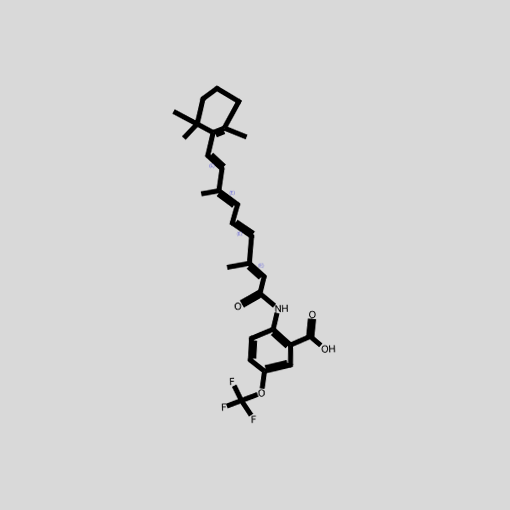 CC1=C(/C=C/C(C)=C/C=C/C(C)=C/C(=O)Nc2ccc(OC(F)(F)F)cc2C(=O)O)C(C)(C)CCC1